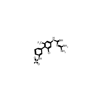 CS(=O)(=O)Nc1cccc(-c2c(Cl)cc(NC(=N)N=C(N)N)cc2C(F)(F)F)c1